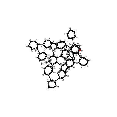 N#Cc1cc(-c2c(-n3c4cc(-c5cccnc5-c5ccccc5)ccc4c4ccc(-c5cccnc5-c5ccccc5)cc43)cc(C#N)cc2-n2c3cc(-c4cccnc4-c4ccccc4)ccc3c3ccc(-c4cccnc4-c4ccccc4)cc32)cc(C(F)(F)F)c1